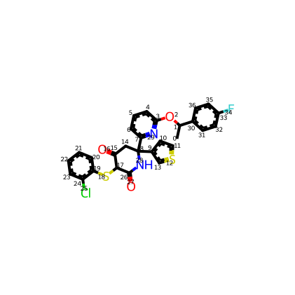 CC(Oc1cccc(C2(c3ccsc3)CC(=O)C(Sc3ccccc3Cl)C(=O)N2)n1)c1ccc(F)cc1